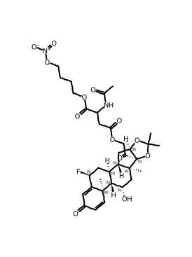 CC(=O)NC(CC(=O)OCC(=O)[C@@]12OC(C)(C)O[C@@H]1C[C@H]1[C@@H]3C[C@H](F)C4=CC(=O)C=C[C@]4(C)[C@H]3[C@@H](O)C[C@@]12C)C(=O)OCCCCO[N+](=O)[O-]